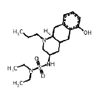 CCCN1C[C@H](NS(=O)(=O)N(CC)CC)CC2Cc3c(O)cccc3C[C@@H]21